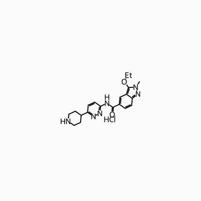 CCOc1c2cc(C(=O)Nc3ccc(C4CCNCC4)nn3)ccc2nn1C.Cl